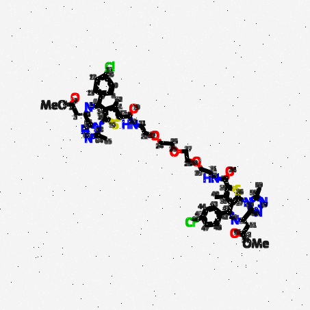 COC(=O)C[C@@H]1N=C(c2ccc(Cl)cc2)c2c(sc(C(=O)NCCOCCOCCOCCNC(=O)c3sc4c(c3C)C(c3ccc(Cl)cc3)=N[C@@H](CC(=O)OC)c3nnc(C)n3-4)c2C)-n2c(C)nnc21